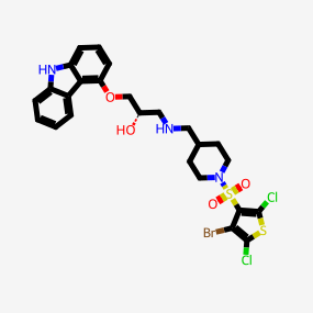 O=S(=O)(c1c(Cl)sc(Cl)c1Br)N1CCC(CNC[C@H](O)COc2cccc3[nH]c4ccccc4c23)CC1